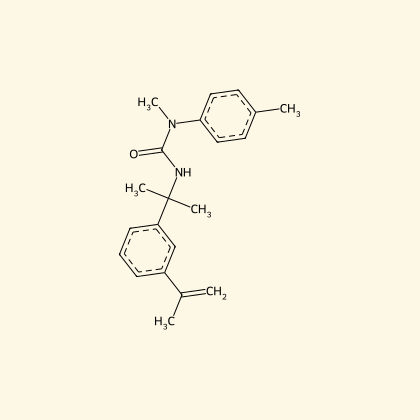 C=C(C)c1cccc(C(C)(C)NC(=O)N(C)c2ccc(C)cc2)c1